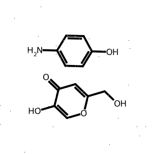 Nc1ccc(O)cc1.O=c1cc(CO)occ1O